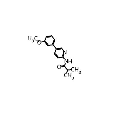 COc1cccc(-c2ccc(NC(=O)C(C)C)nc2)c1